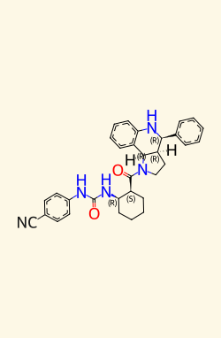 N#Cc1ccc(NC(=O)N[C@@H]2CCCC[C@@H]2C(=O)N2CC[C@@H]3[C@H](c4ccccc4)Nc4ccccc4[C@@H]32)cc1